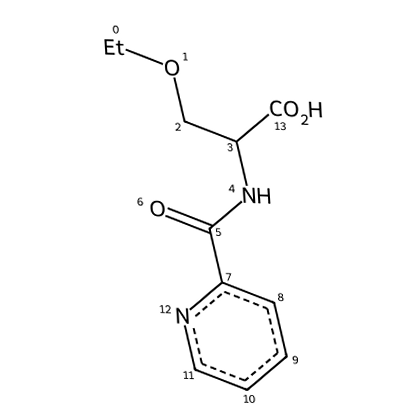 CCOCC(NC(=O)c1ccccn1)C(=O)O